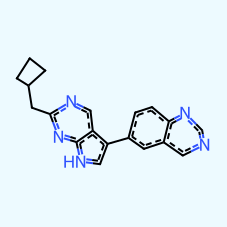 c1ncc2cc(-c3c[nH]c4nc(CC5CCC5)ncc34)ccc2n1